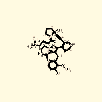 COc1c(Cl)cccc1Nc1c(-c2ccncc2C#C[C@@]2(C)CCCN2C(=O)/C=C/CN(C)C)nn2c1C(=O)NCC2